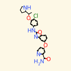 CC(Oc1cc(Nc2nc3cc(Oc4ccnc(C(N)=O)c4)ccc3o2)ccc1Cl)C1CCCN1